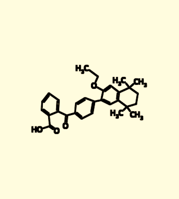 CCOc1cc2c(cc1-c1ccc(C(=O)c3ccccc3C(=O)O)cc1)C(C)(C)CCC2(C)C